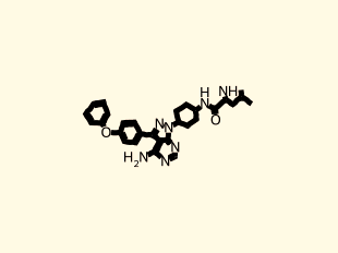 CC(C)CC(N)C(=O)NC1CCC(n2nc(-c3ccc(Oc4ccccc4)cc3)c3c(N)ncnc32)CC1